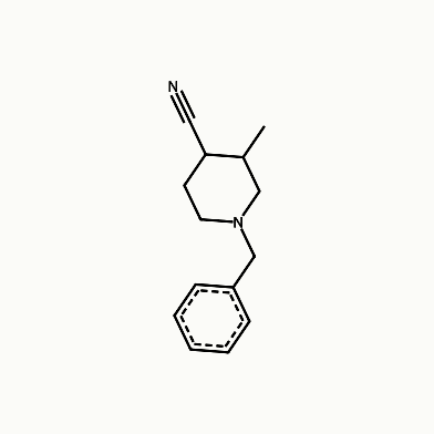 CC1CN(Cc2ccccc2)CCC1C#N